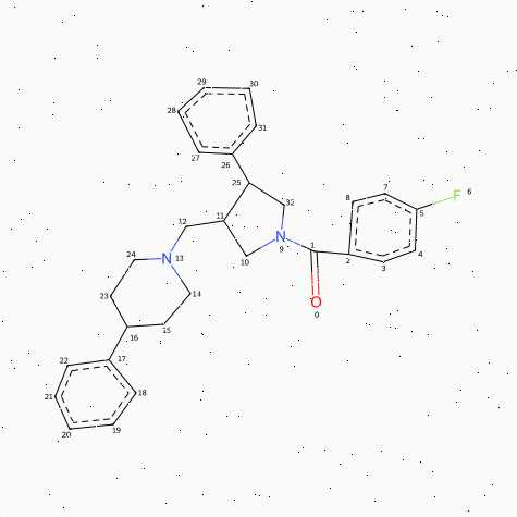 O=C(c1ccc(F)cc1)N1CC(CN2CCC(c3ccccc3)CC2)C(c2ccccc2)C1